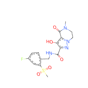 CN1CCn2nc(C(=O)NCc3ccc(F)cc3S(C)(=O)=O)c(O)c2C1=O